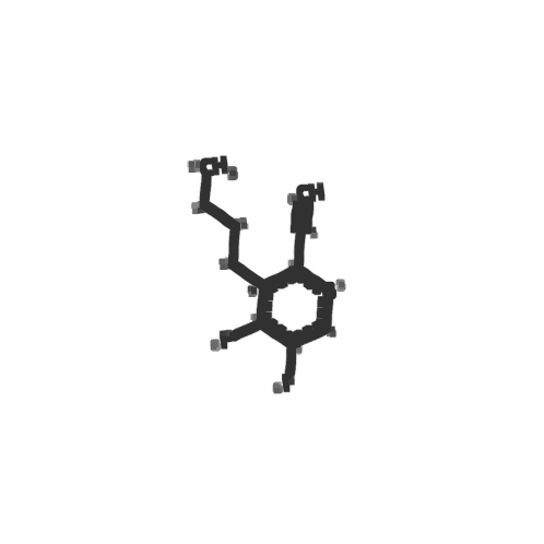 C#Cc1bcc(F)c(F)c1CCCC